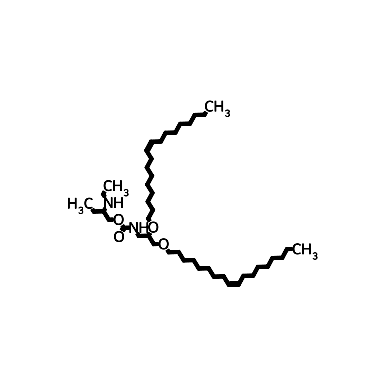 CCCCCCCC/C=C\CCCCCCCCOCC(CNC(=O)OCC(CC)NCC)OCCCCCCCC/C=C\CCCCCCCC